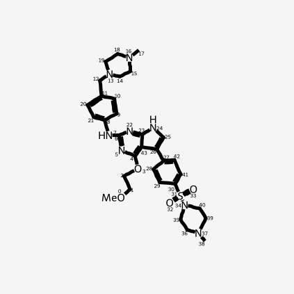 COCCOc1nc(Nc2ccc(CN3CCN(C)CC3)cc2)nc2[nH]cc(-c3ccc(S(=O)(=O)N4CCN(C)CC4)cc3)c12